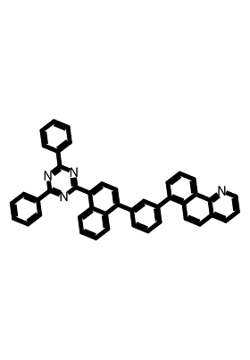 c1ccc(-c2nc(-c3ccccc3)nc(-c3ccc(-c4cccc(-c5cccc6c5ccc5cccnc56)c4)c4ccccc34)n2)cc1